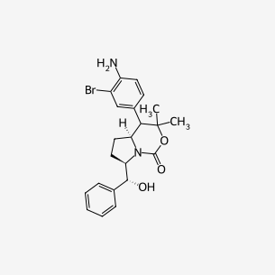 CC1(C)OC(=O)N2[C@@H]([C@H](O)c3ccccc3)CC[C@H]2C1c1ccc(N)c(Br)c1